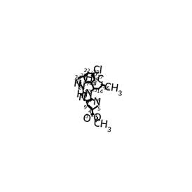 COC(=O)c1cnc2c(c1)ncn2C(CC(C)C)c1cc(Cl)cc2cn[nH]c12